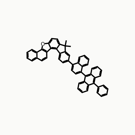 CC1(C)c2cc(-c3ccc(-c4c5ccccc5c(-c5ccccc5)c5ccccc45)c4ccccc34)ccc2-c2c1ccc1oc3c4ccccc4ccc3c21